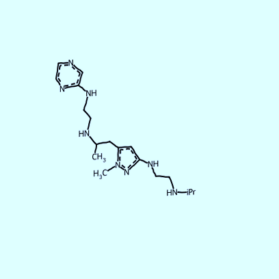 CC(C)NCCNc1cc(CC(C)NCCNc2cnccn2)n(C)n1